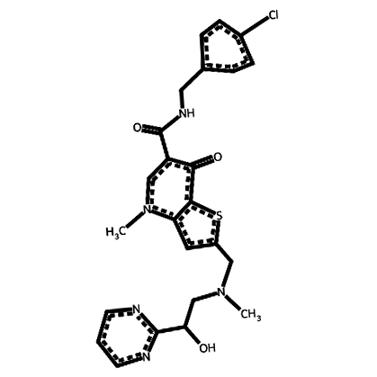 CN(Cc1cc2c(s1)c(=O)c(C(=O)NCc1ccc(Cl)cc1)cn2C)CC(O)c1ncccn1